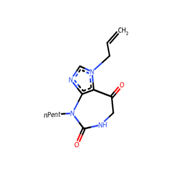 C=CCn1cnc2c1C(=O)CNC(=O)N2CCCCC